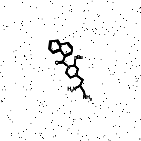 CCCCC1CN(CC(N)CN)CCN1C(=O)c1cccc2ccccc12